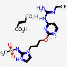 CS(=O)(=O)N=c1[nH]ccn1CCCOc1nccc(NC(N)=NCC(F)(F)F)n1.O=C(O)C=CC(=O)O